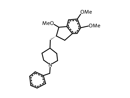 COc1cc2c(cc1OC)C(OC)[C@@H](CC1CCN(Cc3ccccc3)CC1)C2